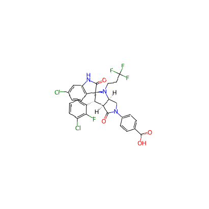 O=C(O)c1ccc(N2C[C@H]3[C@@H](C2=O)[C@H](c2cccc(Cl)c2F)[C@]2(C(=O)Nc4cc(Cl)ccc42)N3CCC(F)(F)F)cc1